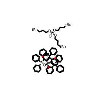 CC(C)(C)CCCOP(=O)(OCCCC(C)(C)C)OCCCC(C)(C)C.O=P(O[Si](c1ccccc1)(c1ccccc1)c1ccccc1)(O[Si](c1ccccc1)(c1ccccc1)c1ccccc1)O[Si](c1ccccc1)(c1ccccc1)c1ccccc1